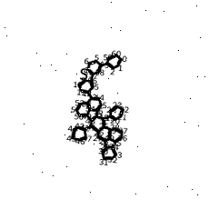 c1ccc(-c2ccc3sc4ccc(-c5ccc6c7c(-c8ccccc8)c8c(cc9c%10ccccc%10c%10cccc8c%109)c(-c8ccccc8)c7c7cccc5c76)cc4c3c2)cc1